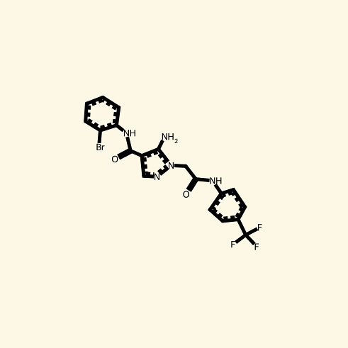 Nc1c(C(=O)Nc2ccccc2Br)cnn1CC(=O)Nc1ccc(C(F)(F)F)cc1